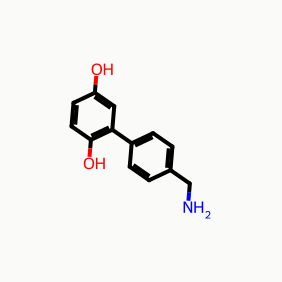 NCc1ccc(-c2cc(O)ccc2O)cc1